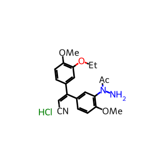 CCOc1cc(C(=CC#N)c2ccc(OC)c(N(N)C(C)=O)c2)ccc1OC.Cl